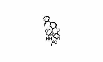 CCOc1cc2c(cn1)Oc1ccc(-c3cccnc3F)cc1[C@@]21COCC(N)=N1